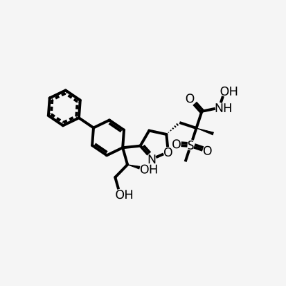 C[C@@](C[C@H]1CC(C2([C@@H](O)CO)C=CC(c3ccccc3)C=C2)=NO1)(C(=O)NO)S(C)(=O)=O